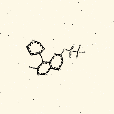 O=S(=O)(Oc1ccc2ncc(F)c(-c3ccncc3)c2n1)C(F)(F)F